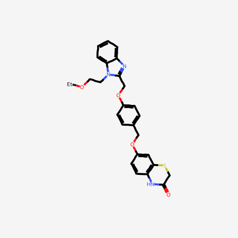 CCOCCn1c(COc2ccc(COc3ccc4c(c3)SCC(=O)N4)cc2)nc2ccccc21